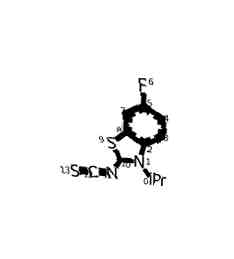 CC(C)N1c2ccc(F)cc2SC1N=C=S